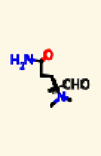 CN(C)[C@](C)(C=O)CCC(N)=O